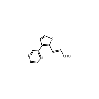 O=C/C=C/c1sccc1-c1cnccn1